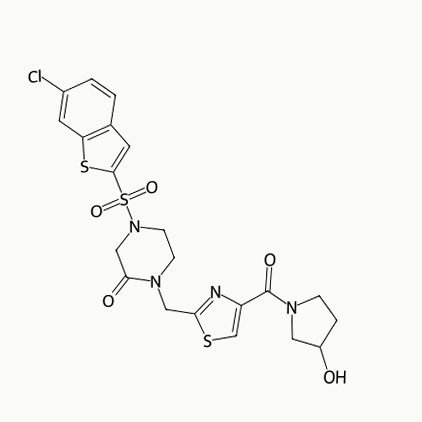 O=C1CN(S(=O)(=O)c2cc3ccc(Cl)cc3s2)CCN1Cc1nc(C(=O)N2CCC(O)C2)cs1